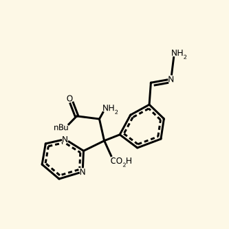 CCCCC(=O)C(N)C(C(=O)O)(c1cccc(C=NN)c1)c1ncccn1